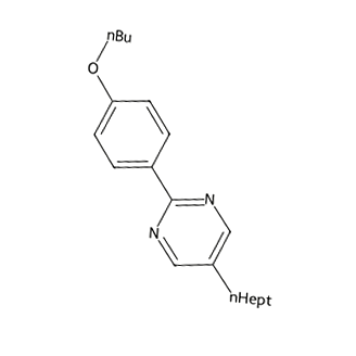 CCCCCCCc1cnc(-c2ccc(OCCCC)cc2)nc1